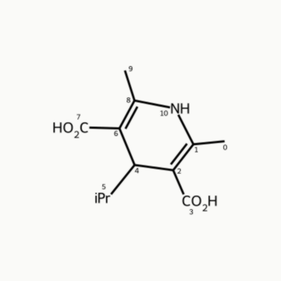 CC1=C(C(=O)O)C(C(C)C)C(C(=O)O)=C(C)N1